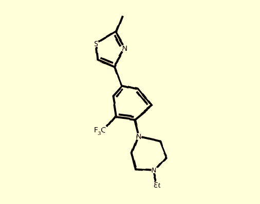 CCN1CCN(c2ccc(-c3csc(C)n3)cc2C(F)(F)F)CC1